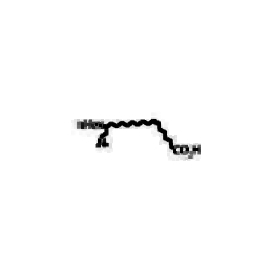 CCCCCCC(CCCCCCCC/C=C\CCCCCC(=O)O)CCN(C)C